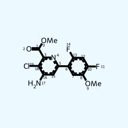 COC(=O)c1nc(-c2cc(OC)c(F)cc2F)cc(N)c1Cl